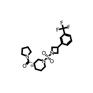 O=C([C@H]1CCCN(S(=O)(=O)N2CC(c3cccc(C(F)(F)F)c3)C2)C1)N1CCCC1